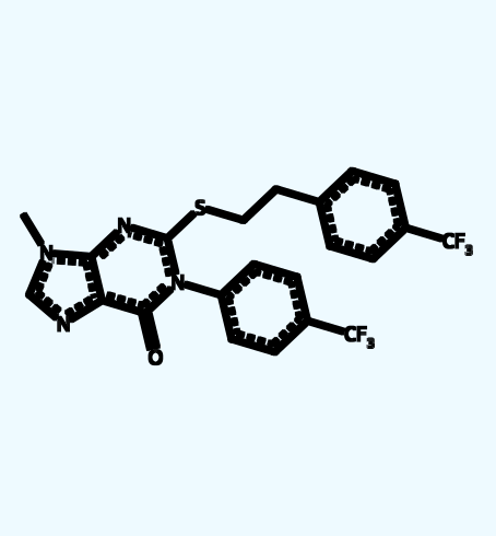 Cn1cnc2c(=O)n(-c3ccc(C(F)(F)F)cc3)c(SCCc3ccc(C(F)(F)F)cc3)nc21